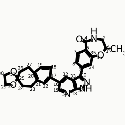 C[C@@H]1CNC(=O)c2ccc(-c3n[nH]c4ncc(-c5ccc6c(c5)CCC5(CC6)OCCO5)cc34)cc2O1